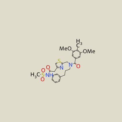 COc1cc(C(=O)N(CCCc2ccccc2)Cc2nc(CC(=O)NS(C)(=O)=O)cs2)cc(OC)c1C